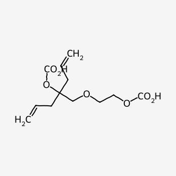 C=CCC(CC=C)(COCCOC(=O)O)OC(=O)O